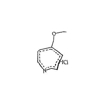 COc1ccncc1.Cl